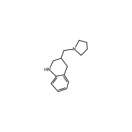 c1ccc2c(c1)CC(CN1CCCC1)CN2